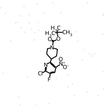 CC(C)(C)OC(=O)N1CCC(c2nc(Cl)c(F)cc2[N+](=O)[O-])CC1